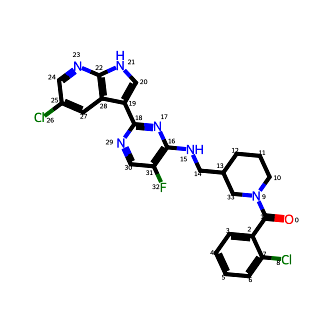 O=C(c1ccccc1Cl)N1CCCC(CNc2nc(-c3c[nH]c4ncc(Cl)cc34)ncc2F)C1